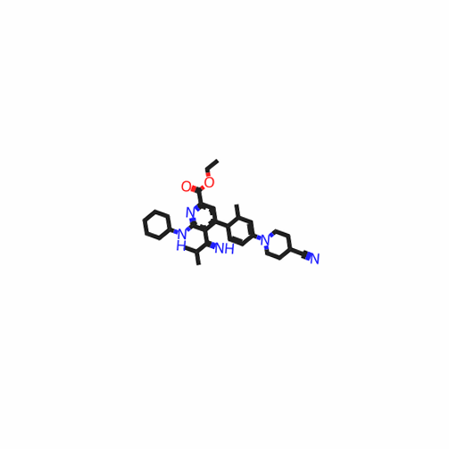 CCOC(=O)c1cc(C2C=CC(N3CCC(C#N)CC3)=CC2C)c(C(=N)C(C)C)c(NC2CCCCC2)n1